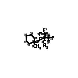 CC1(COC(C)(C(F)(F)F)C(F)(F)F)CCCCC1